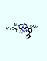 CC[C@@H]1CN2CCc3c([nH]c4c(-c5ccoc5)ccc(OC)c34)C2C[C@@H]1C(=COC)C(=O)O